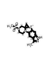 Cc1n[nH]c2cc(F)c(N3CCN(S(C)(=O)=O)CC34CC4)cc12